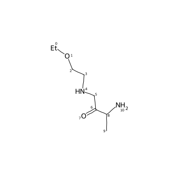 CCOCCNCC(=O)C(C)N